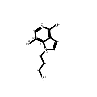 OCCCn1ccc2c(Cl)ncc(Br)c21